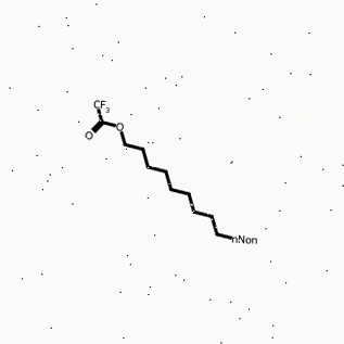 CCCCCCCCCCCCCCCCCCOC(=O)C(F)(F)F